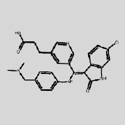 CN(C)Cc1ccc(N/C(=C2\C(=O)Nc3cc(Cl)ccc32)c2cncc(CCC(=O)O)c2)cc1